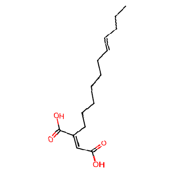 CCCC=CCCCCCC/C(=C\C(=O)O)C(=O)O